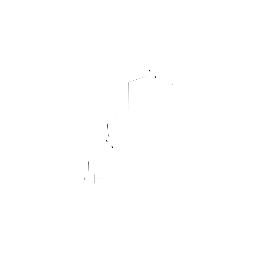 C/C=N/CCCN